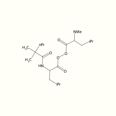 CCCC(C)(C)C(=O)NC(CC(C)C)C(=O)OOC(=O)C(CC(C)C)NC